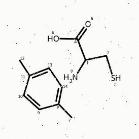 NC(CS)C(=O)O.[CH2]c1ccc(C)cc1